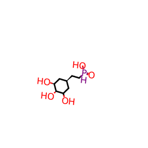 O=[PH](O)CC[C@H]1CC(O)[C@@H](O)[C@@H](O)C1